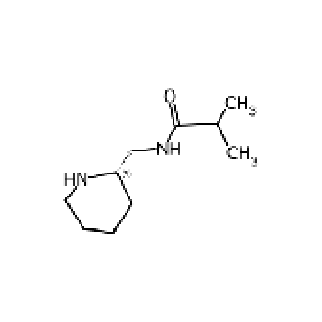 CC(C)C(=O)NC[C@@H]1CCCCN1